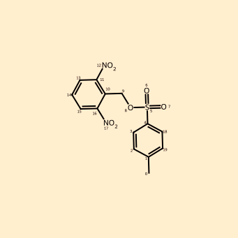 Cc1ccc(S(=O)(=O)OCc2c([N+](=O)[O-])cccc2[N+](=O)[O-])cc1